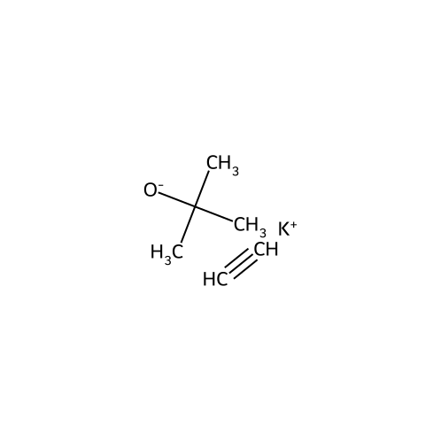 C#C.CC(C)(C)[O-].[K+]